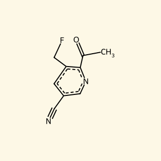 CC(=O)c1ncc(C#N)cc1CF